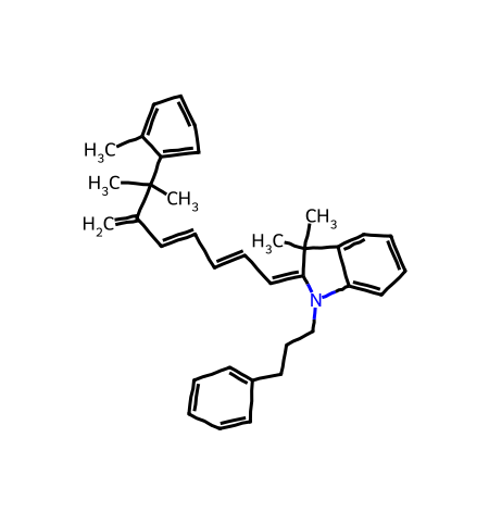 C=C(/C=C/C=C/C=C1/N(CCCc2ccccc2)c2ccccc2C1(C)C)C(C)(C)c1ccccc1C